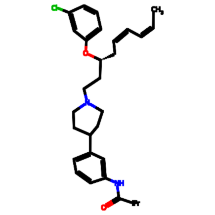 C/C=C\C=C/C[C@H](CCN1CCC(c2cccc(NC(=O)C(C)C)c2)CC1)Oc1cccc(Cl)c1